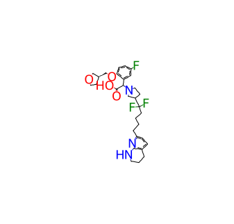 O=C(O)C(c1cc(F)ccc1OC[C@H]1CCOC1)N1CCC(C(F)(F)CCCCc2ccc3c(n2)NCCC3)C1